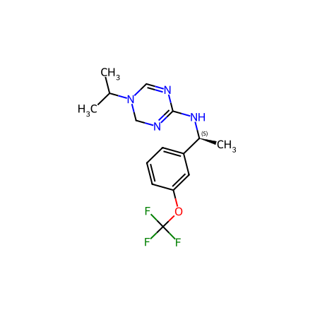 CC(C)N1C=NC(N[C@@H](C)c2cccc(OC(F)(F)F)c2)=NC1